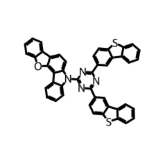 c1ccc2c(c1)oc1c2ccc2c1c1ccccc1n2-c1nc(-c2ccc3sc4ccccc4c3c2)nc(-c2ccc3sc4ccccc4c3c2)n1